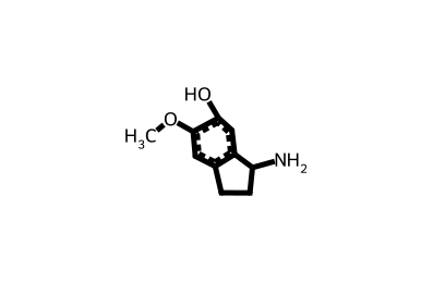 COc1cc2c(cc1O)C(N)CC2